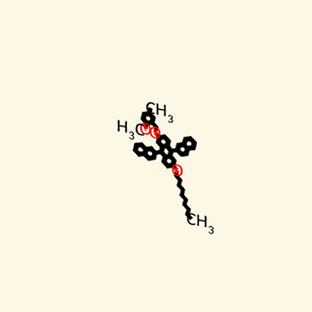 CCCCCCCCCCOc1ccc2c(-c3ccc4ccccc4c3)c3cc(OCc4cc(C)ccc4OC)ccc3c(-c3ccc4ccccc4c3)c2c1